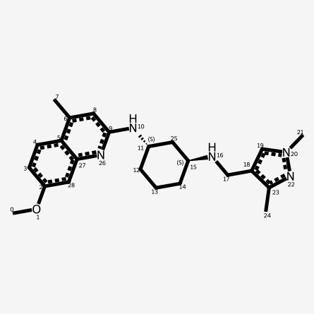 COc1ccc2c(C)cc(N[C@H]3CCC[C@H](NCc4cn(C)nc4C)C3)nc2c1